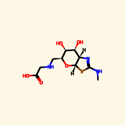 CNC1=N[C@@H]2[C@@H](O)[C@@H](O)[C@@H](CNCC(=O)O)O[C@@H]2S1